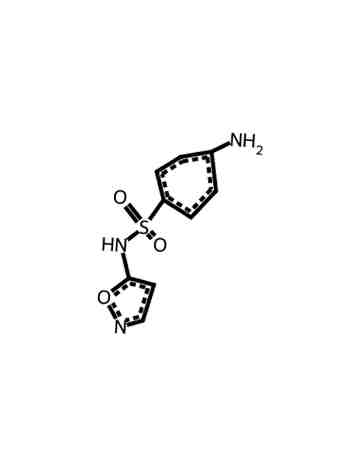 Nc1ccc(S(=O)(=O)Nc2ccno2)cc1